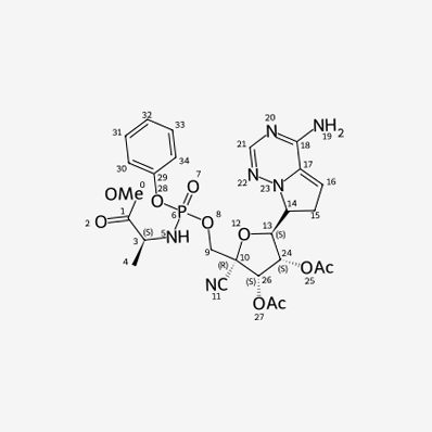 COC(=O)[C@H](C)NP(=O)(OC[C@@]1(C#N)O[C@@H](C2CC=C3C(N)=NC=NN32)[C@H](OC(C)=O)[C@@H]1OC(C)=O)Oc1ccccc1